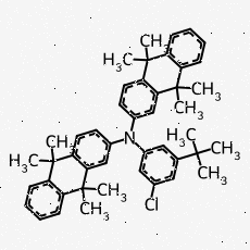 CC(C)(C)c1cc(Cl)cc(N(c2ccc3c(c2)C(C)(C)c2ccccc2C3(C)C)c2ccc3c(c2)C(C)(C)c2ccccc2C3(C)C)c1